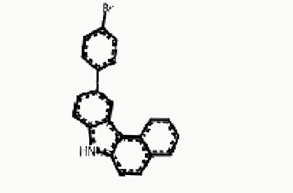 Brc1ccc(-c2ccc3[nH]c4ccc5ccccc5c4c3c2)cc1